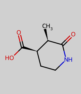 C[C@H]1C(=O)NCC[C@H]1C(=O)O